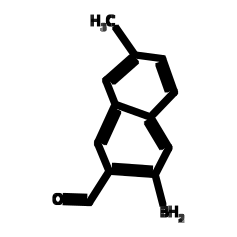 Bc1cc2ccc(C)cc2cc1C=O